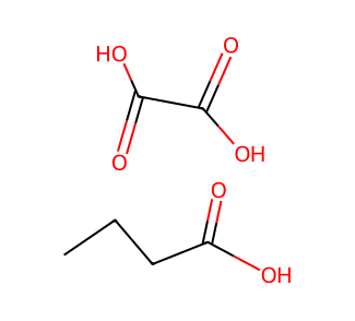 CCCC(=O)O.O=C(O)C(=O)O